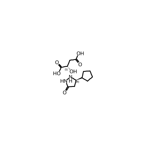 O=C(O)C[C@H](O)C(=O)O.O=C1C[C@H](C2CCCC2)NN1